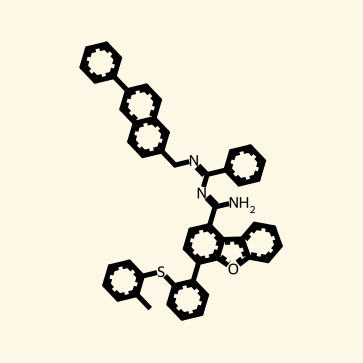 Cc1ccccc1Sc1ccccc1-c1ccc(/C(N)=N/C(=N\Cc2ccc3cc(-c4ccccc4)ccc3c2)c2ccccc2)c2c1oc1ccccc12